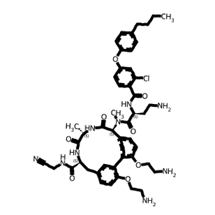 CCCCc1ccc(Oc2ccc(C(=O)N[C@@H](CCN)C(=O)N(C)[C@@H]3C(=O)N[C@@H](C)C(=O)N[C@H](C(=O)NCC#N)Cc4ccc(OCCN)c(c4)-c4cc3ccc4OCCN)c(Cl)c2)cc1